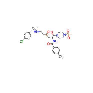 C[C@@]1(NCC[S+]([O-])C[C@H](NC(=O)c2ccc(C(F)(F)F)cc2)C(=O)N2CCN(S(C)(=O)=O)CC2)C[C@H]1c1ccc(Cl)cc1